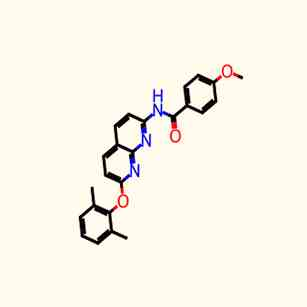 COc1ccc(C(=O)Nc2ccc3ccc(Oc4c(C)cccc4C)nc3n2)cc1